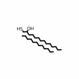 CCCCCCCCCCCC.CCCCCCCCCCCCC(O)CS